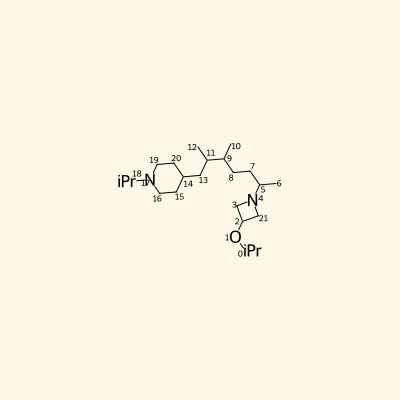 CC(C)OC1CN(C(C)CCC(C)C(C)CC2CCN(C(C)C)CC2)C1